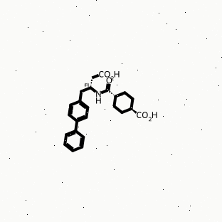 O=C(O)C[C@@H](Cc1ccc(-c2ccccc2)cc1)NC(=O)[C@H]1CC[C@H](C(=O)O)CC1